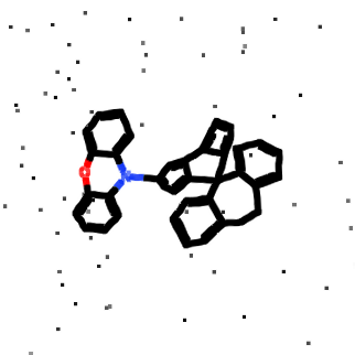 c1ccc2c(c1)CCc1ccccc1C21c2ccccc2-c2cc(N3c4ccccc4Oc4ccccc43)ccc21